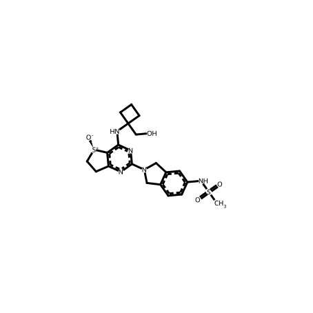 CS(=O)(=O)Nc1ccc2c(c1)CN(c1nc3c(c(NC4(CO)CCC4)n1)[S@+]([O-])CC3)C2